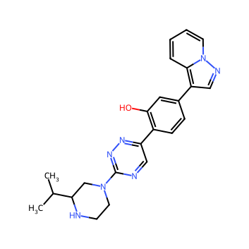 CC(C)C1CN(c2ncc(-c3ccc(-c4cnn5ccccc45)cc3O)nn2)CCN1